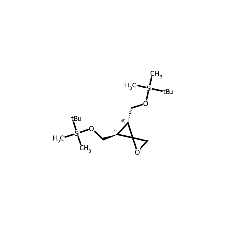 CC(C)(C)[Si](C)(C)OC[C@H]1[C@H](CO[Si](C)(C)C(C)(C)C)C12CO2